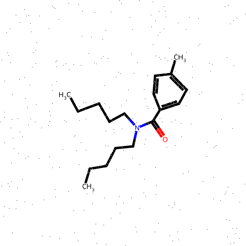 CCCCCN(CCCCC)C(=O)c1ccc(C)cc1